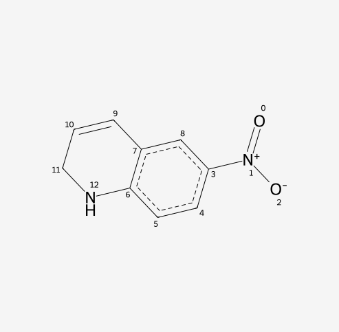 O=[N+]([O-])c1ccc2c(c1)C=CCN2